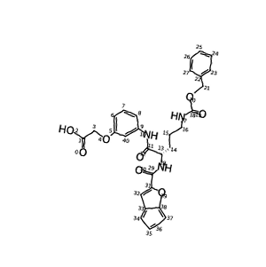 O=C(O)COc1cccc(NC(=O)[C@H](CCCNC(=O)OCc2ccccc2)NC(=O)c2cc3ccccc3o2)c1